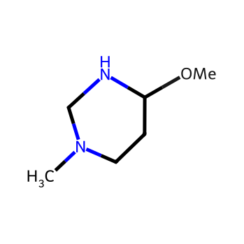 COC1CCN(C)CN1